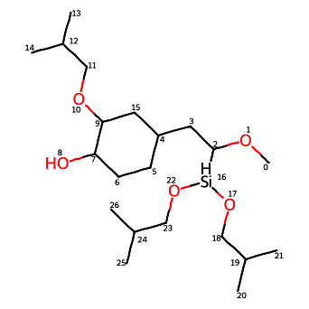 COC(CC1CCC(O)C(OCC(C)C)C1)[SiH](OCC(C)C)OCC(C)C